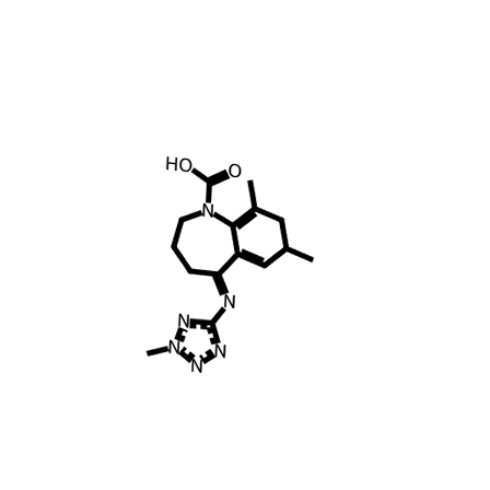 CC1=C2C(=CC(C)C1)C(=Nc1nnn(C)n1)CCCN2C(=O)O